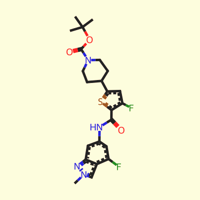 Cn1cc2c(F)cc(NC(=O)c3sc(C4CCN(C(=O)OC(C)(C)C)CC4)cc3F)cc2n1